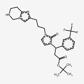 CC(C)(C)OC(=O)CC(c1cccc(C(F)(F)F)c1)n1ccn(CCCc2cn3c(n2)CCNC3)c1=O